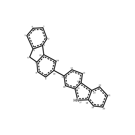 c1ccc2c(c1)Cc1ccc(-c3ccc4c(c3)[nH]c3ccccc34)cc1-2